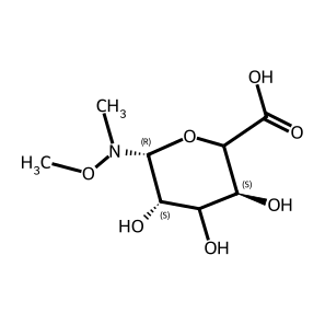 CON(C)[C@@H]1OC(C(=O)O)[C@@H](O)C(O)[C@@H]1O